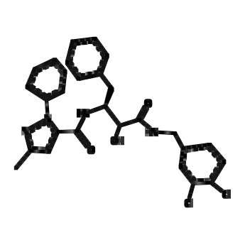 Cc1cc(C(=O)N[C@@H](Cc2ccccc2)C(O)C(=O)NCc2ccc(Cl)c(Cl)c2)n(-c2ccccc2)n1